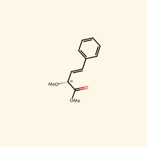 COC(=O)[C@@H](C=Cc1ccccc1)OC